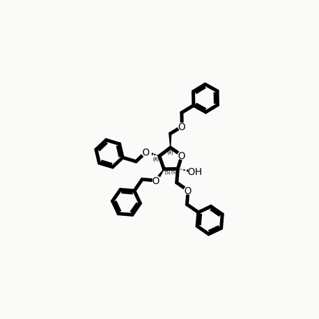 O[C@@]1(COCc2ccccc2)O[C@H](COCc2ccccc2)[C@@H](OCc2ccccc2)[C@@H]1OCc1ccccc1